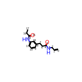 C=CCNC(=O)CCc1cccc(NC(=O)CC)c1